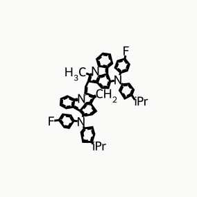 C=c1/c(=C\c2c(C)n3c4ccccc4c4c(N(c5ccc(F)cc5)c5ccc(C(C)C)cc5)ccc2c43)n2c3ccccc3c3c(N(c4ccc(F)cc4)c4ccc(C(C)C)cc4)ccc1c32